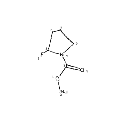 CC(C)(C)OC(=O)N1CCCC1F